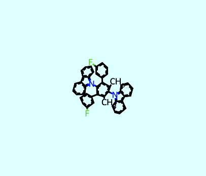 Cc1c(-c2cccc(F)c2)c(-n2c3ccccc3c3ccccc32)c(-c2cccc(F)c2)c(C)c1-n1c2ccccc2c2ccccc21